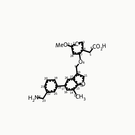 COc1ccc(CC(=O)O)c(OCc2coc3c(C)cc(-c4cccc(CN)c4)cc23)c1